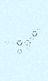 CCOc1ccc(NC[C@@H]2C[C@@H](c3ccc(OC)c(OC4CCCC4)c3)CNC2=O)cc1